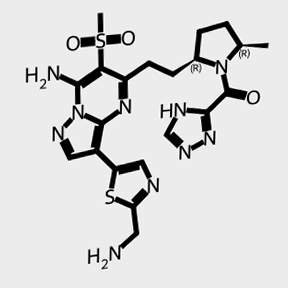 C[C@@H]1CC[C@H](CCc2nc3c(-c4cnc(CN)s4)cnn3c(N)c2S(C)(=O)=O)N1C(=O)c1nnc[nH]1